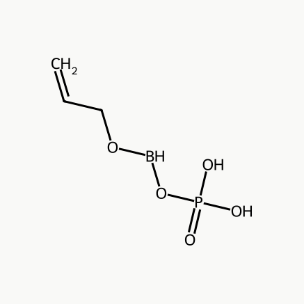 C=CCOBOP(=O)(O)O